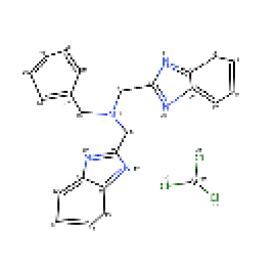 C1=CCC2=NC(CN(CC3=NC4=CC=CCC4=N3)Cc3ccccc3)=NC2=C1.[Cl][V]([Cl])[Cl]